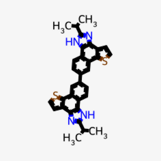 CC(C)c1nc2c3ccsc3c3cc(-c4ccc5c(c4)c4sccc4c4nc(C(C)C)[nH]c54)ccc3c2[nH]1